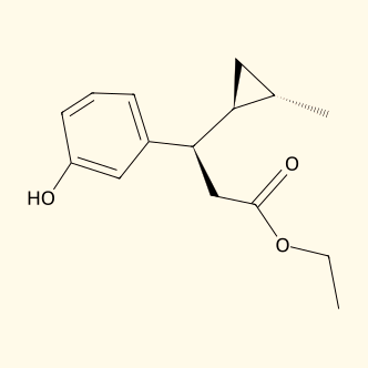 CCOC(=O)C[C@@H](c1cccc(O)c1)[C@H]1C[C@@H]1C